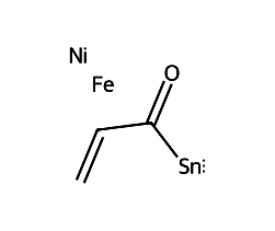 C=C[C](=O)[Sn].[Fe].[Ni]